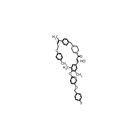 C/C(=C/COc1ccc(C)cc1)c1ccc(CN2CCN(C(=O)/C=C/c3cc(C)c(Oc4ccc(OCc5ccc(F)cc5)cn4)c(C)c3)CC2)cc1.Cl